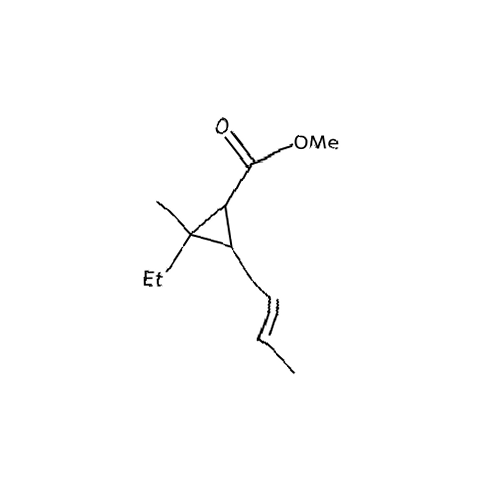 CC=CC1C(C(=O)OC)C1(C)CC